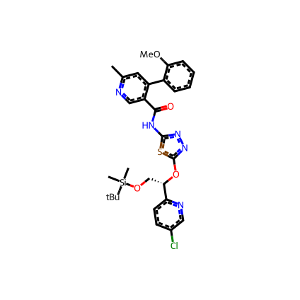 COc1ccccc1-c1cc(C)ncc1C(=O)Nc1nnc(O[C@@H](CO[Si](C)(C)C(C)(C)C)c2ccc(Cl)cn2)s1